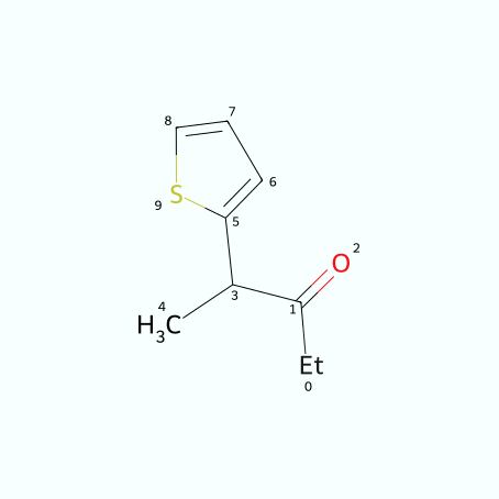 CCC(=O)C(C)c1cccs1